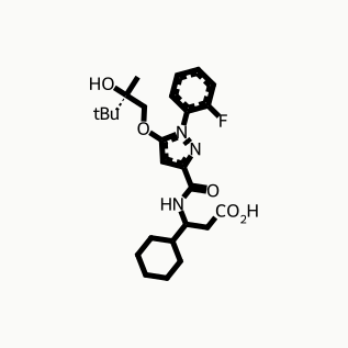 CC(C)(C)[C@@](C)(O)COc1cc(C(=O)NC(CC(=O)O)C2CCCCC2)nn1-c1ccccc1F